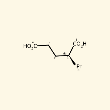 CC(C)[C@@H](CCC(=O)O)C(=O)O